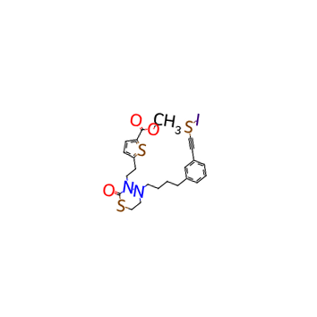 COC(=O)c1ccc(CCN2C(=O)SCCN2CCCCc2cccc(C#CSI)c2)s1